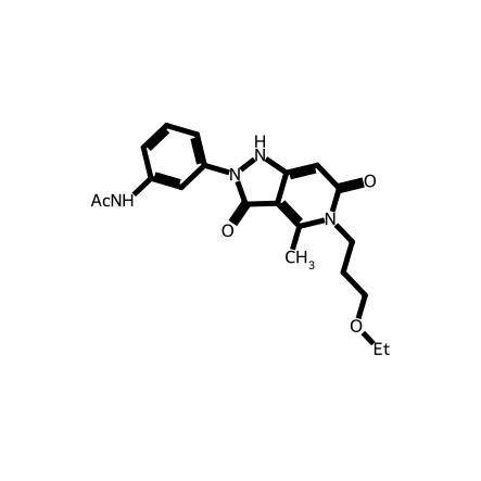 CCOCCCn1c(C)c2c(=O)n(-c3cccc(NC(C)=O)c3)[nH]c2cc1=O